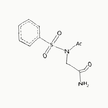 CC(=O)N(CC(N)=O)S(=O)(=O)c1ccccc1